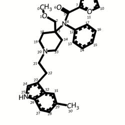 COCC1(N(C(=O)c2ccco2)c2ccccc2)CCN(CCc2c[nH]c3ccc(C)cc23)CC1